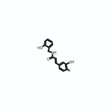 O=C(/C=C/c1ccc(F)c(O)c1)NCc1ccccc1O